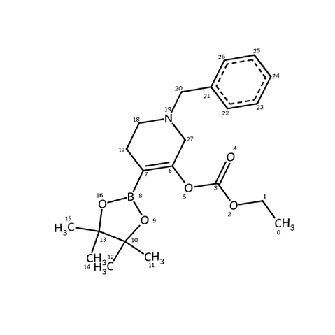 CCOC(=O)OC1=C(B2OC(C)(C)C(C)(C)O2)CCN(Cc2ccccc2)C1